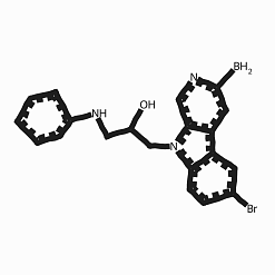 Bc1cc2c3cc(Br)ccc3n(CC(O)CNc3ccccc3)c2cn1